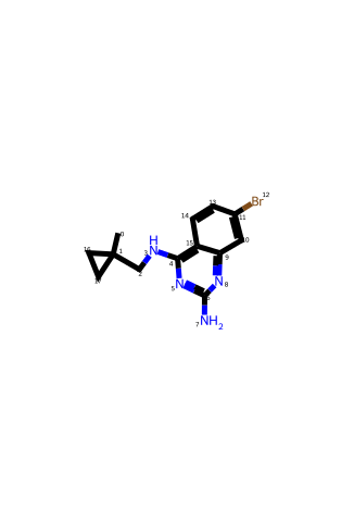 CC1(CNc2nc(N)nc3cc(Br)ccc23)CC1